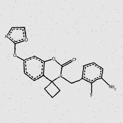 Nc1cccc(CN2C(=O)Oc3cc(Oc4ncco4)ccc3C23CCC3)c1F